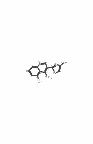 Cc1c(-c2nc(C(C)C)cs2)[c]nc2cccc(C(F)(F)F)c12